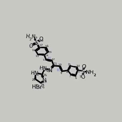 Br.NS(=O)(=O)c1ccc(/C=C/C(/C=C/c2ccc(S(N)(=O)=O)cc2)=NNC2=NCCN2)cc1